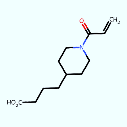 C=CC(=O)N1CCC(CCCC(=O)O)CC1